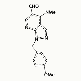 CNc1c(C=O)cnc2c1cnn2Cc1ccc(OC)cc1